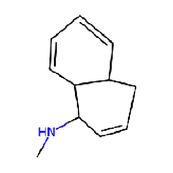 CNC1C=CCC2C=CC=CC21